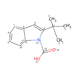 CC(C)(C)c1cc2ccccc2n1C(=O)O